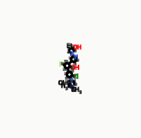 CCC1(O)CCN(c2cc(-c3cc(F)cc(-c4ccc(N(C=O)/C=C\N(C)C)c(Cl)c4)c3O)ccn2)C1